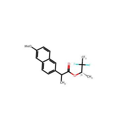 COc1ccc2cc(C(C)C(=O)O[C@@H](C)C(F)(F)C(F)(F)F)ccc2c1